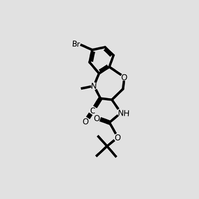 CN1C(=C=O)C(NC(=O)OC(C)(C)C)COc2ccc(Br)cc21